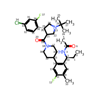 CC[C@H](NC(C)=O)c1cc(C)c(F)cc1C1CCN(C(=O)C2CN(C(C)(C)C)C[C@H]2c2ccc(Cl)cc2F)CC1